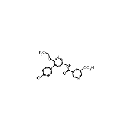 O=C(O)c1cncc(C(=O)Nc2cnc(OCC(F)(F)F)c(-c3ccc(Cl)cc3)c2)c1